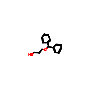 OCCCOC(c1ccccc1)c1ccccc1